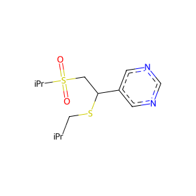 CC(C)CSC(CS(=O)(=O)C(C)C)c1cncnc1